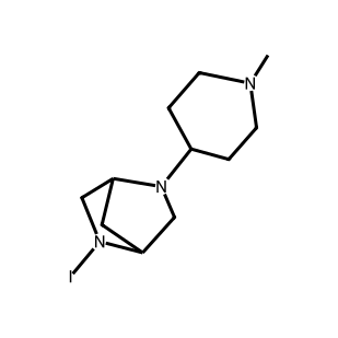 CN1CCC(N2CC3CC2CN3I)CC1